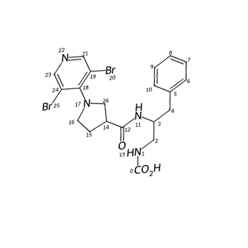 O=C(O)NCC(Cc1ccccc1)NC(=O)C1CCN(c2c(Br)cncc2Br)C1